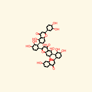 O=c1cc(-c2ccc(O)c(O)c2-c2c(O)cc3oc(-c4ccc(O)c(O)c4-c4c(O)cc5oc(-c6ccc(O)c(O)c6)cc(=O)c5c4O)cc(=O)c3c2O)oc2cc(O)ccc12